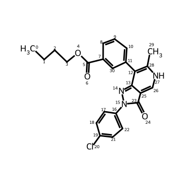 CCCCOC(=O)c1cccc(-c2c3nn(-c4ccc(Cl)cc4)c(=O)c-3c[nH]c2C)c1